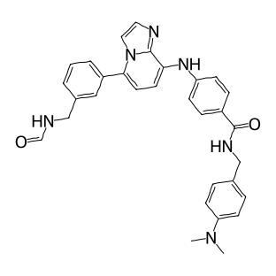 CN(C)c1ccc(CNC(=O)c2ccc(Nc3ccc(-c4cccc(CNC=O)c4)n4ccnc34)cc2)cc1